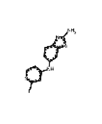 Nc1nc2ccc(Nc3ccnc(F)c3)cc2s1